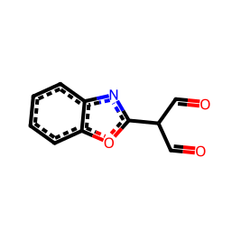 O=CC(C=O)c1nc2ccccc2o1